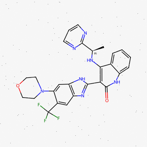 C[C@@H](Nc1c(-c2nc3cc(C(F)(F)F)c(N4CCOCC4)cc3[nH]2)c(=O)[nH]c2ccccc12)c1ncccn1